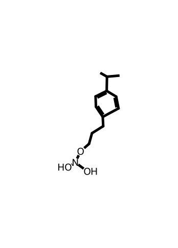 CC(C)c1ccc(CCCON(O)O)cc1